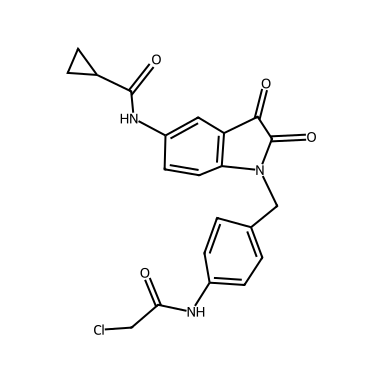 O=C(CCl)Nc1ccc(CN2C(=O)C(=O)c3cc(NC(=O)C4CC4)ccc32)cc1